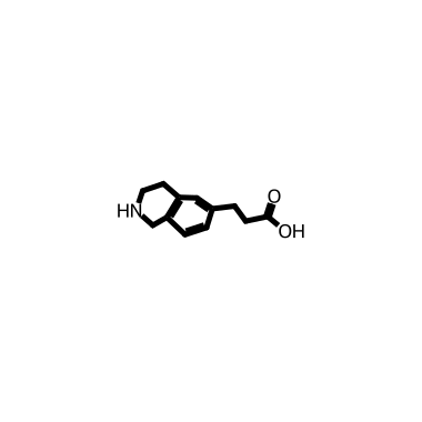 O=C(O)CCc1ccc2c(c1)CCNC2